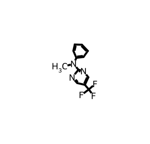 CN(c1ccccc1)c1ncc(C(F)(F)F)cn1